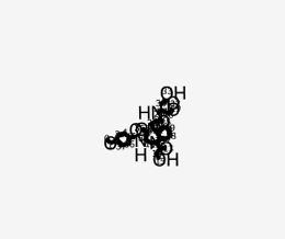 COc1ccc(C(=O)N[C@H]2CN(C(=O)CO)c3ccccc3N(CC(=O)N[C@H](C=O)CC(=O)O)C2=O)cc1